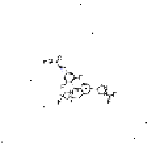 C[C@@H]1Cc2cc(-c3cnn(C(F)F)c3)ccc2[C@@H](c2c(F)cc(/C=C/C(=O)O)cc2F)N1CC(C)(C)F